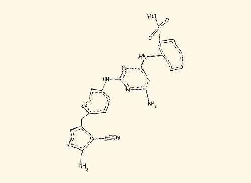 N#Cc1c(-c2ccc(Nc3nc(N)nc(Nc4ccccc4S(=O)(=O)O)n3)cc2)csc1N